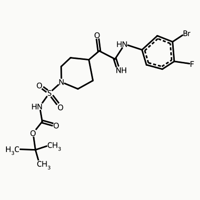 CC(C)(C)OC(=O)NS(=O)(=O)N1CCC(C(=O)C(=N)Nc2ccc(F)c(Br)c2)CC1